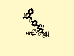 Cc1cc(COc2ccc(C3=NOC(CC(=O)NO)(CN4CCNCC4)C3)cc2)c2ccccc2n1